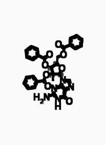 C[C@@]1(OC(=O)c2ccccc2)[C@H](OC(=O)c2ccccc2)[C@@H](COC(=O)c2ccccc2)O[C@H]1n1cnc2c(=O)[nH]c(N)nc21